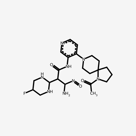 CC(=O)N1CCCC12CCN(c1ccncc1NC(=O)C(C(N)N=O)C1NCC(F)CN1)CC2